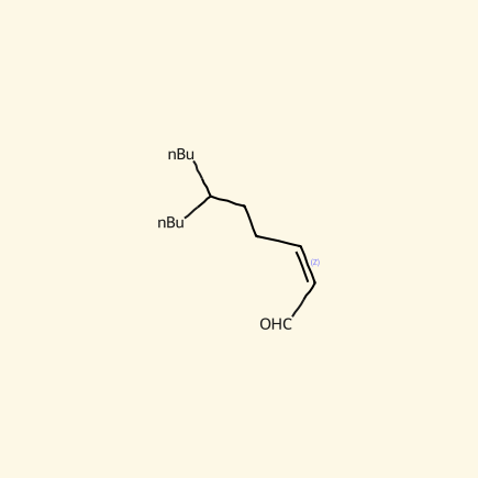 CCCCC(CC/C=C\C=O)CCCC